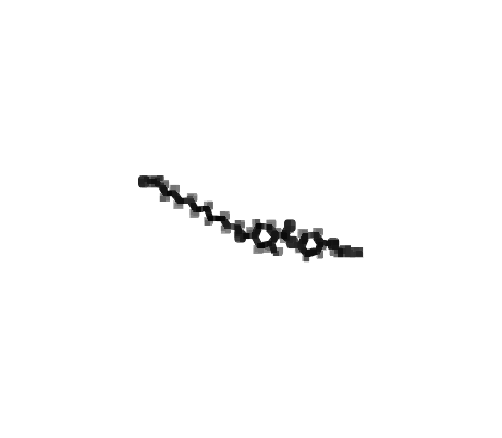 CCCCCCOc1ccc(OC(=O)C2=CC=C(OCCCCCCCCCCC=O)CC2C)cc1